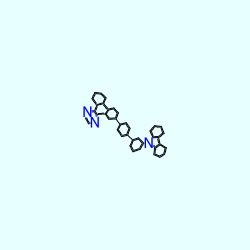 c1cc(-c2ccc(-c3ccc4c5ccccc5c5nccnc5c4c3)cc2)cc(-n2c3ccccc3c3ccccc32)c1